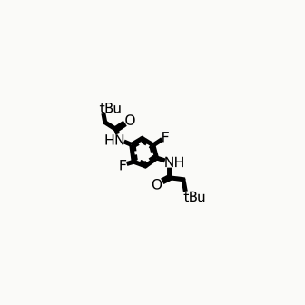 CC(C)(C)CC(=O)Nc1cc(F)c(NC(=O)CC(C)(C)C)cc1F